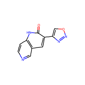 O=c1[nH]c2ccncc2cc1-c1conn1